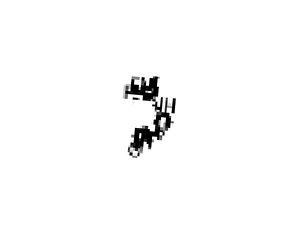 COc1cccc([C@H](C)N2CCC[C@@H](CNc3cc(C)nc(C(F)(F)F)c3)C2)n1